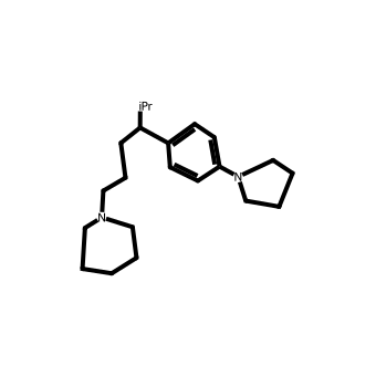 CC(C)C(CCCN1CCCCC1)c1ccc(N2CCCC2)cc1